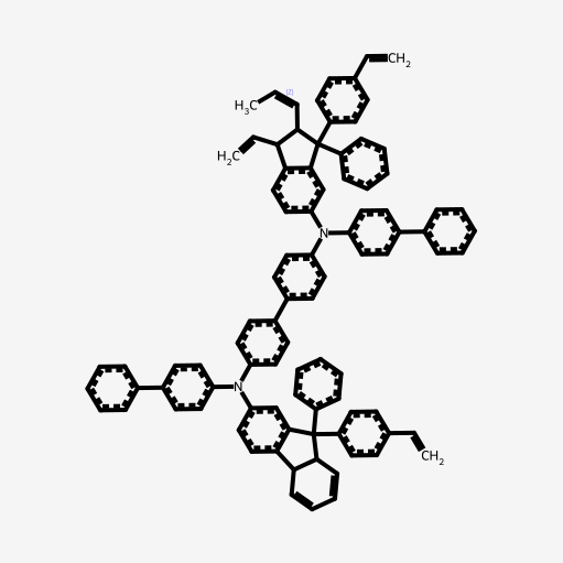 C=Cc1ccc(C2(c3ccccc3)c3cc(N(c4ccc(-c5ccccc5)cc4)c4ccc(-c5ccc(N(c6ccc(-c7ccccc7)cc6)c6ccc7c(c6)C(c6ccccc6)(c6ccc(C=C)cc6)C(/C=C\C)C7C=C)cc5)cc4)ccc3C3C=CC=CC32)cc1